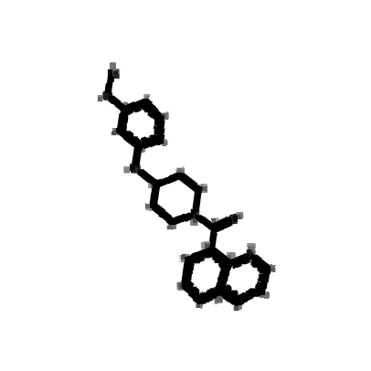 CCOc1cccc(OC2CCN(C(=O)c3cccc4cccnc34)CC2)c1